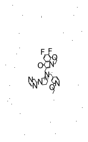 CCOc1cc(CN(Cc2cn3c4c(c(F)c(F)cc4c2=O)OCC3)[C@H]2CCCN(c3cnccn3)C2)ccn1